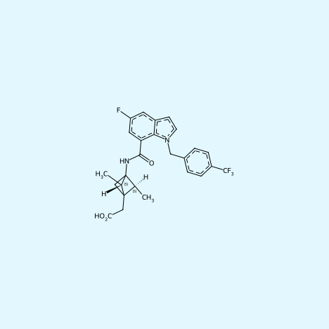 C[C@H]1C2(CC(=O)O)CC1(NC(=O)c1cc(F)cc3ccn(Cc4ccc(C(F)(F)F)cc4)c13)[C@H]2C